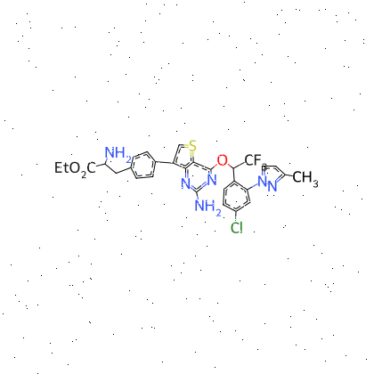 CCOC(=O)C(N)Cc1ccc(-c2csc3c(OC(c4ccc(Cl)cc4-n4ccc(C)n4)C(F)(F)F)nc(N)nc23)cc1